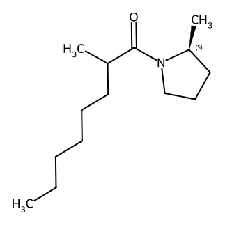 CCCCCCC(C)C(=O)N1CCC[C@@H]1C